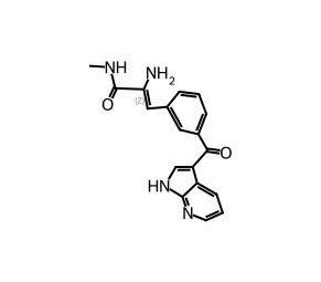 CNC(=O)/C(N)=C/c1cccc(C(=O)c2c[nH]c3ncccc23)c1